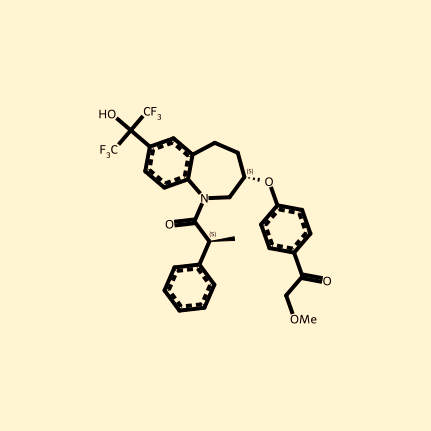 COCC(=O)c1ccc(O[C@H]2CCc3cc(C(O)(C(F)(F)F)C(F)(F)F)ccc3N(C(=O)[C@@H](C)c3ccccc3)C2)cc1